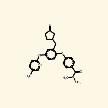 Cc1ccc(Nc2ccc(Oc3ccc(C(=O)N(C)C)cc3)c(CC3CCC(=O)C3)c2)nc1